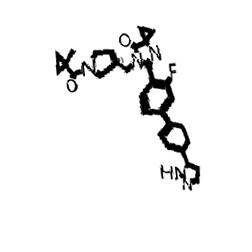 CC1(C(=O)N2CC[C@@H](CN3C(=O)C4(CC4)N=C3c3ccc(C4=CC=C(C5CC=NN5)CC4)cc3F)C2)CC1